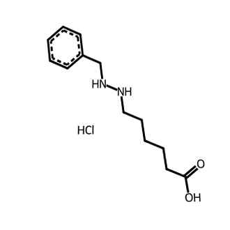 Cl.O=C(O)CCCCCNNCc1ccccc1